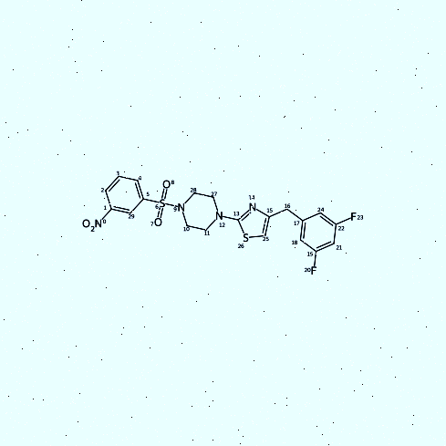 O=[N+]([O-])c1cccc(S(=O)(=O)N2CCN(c3nc(Cc4cc(F)cc(F)c4)cs3)CC2)c1